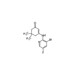 CC1(C)CC(=O)C=C(Nc2ncc(F)cc2Br)C1